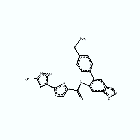 NCc1ccc(-c2cc3cn[nH]c3cc2NC(=O)c2csc(-c3cc(C(F)(F)F)n[nH]3)n2)cc1